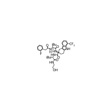 CCC(C)[C@H](NC(=O)Cc1ccccc1F)C(=O)N[C@]1(C(=O)NC(C(=O)NCCO)[C@@H](C)CC)CCc2[nH]c3c(C(F)(F)F)cccc3c2C1